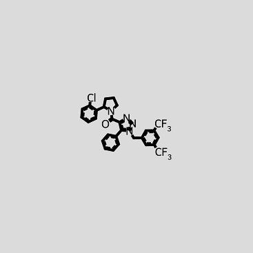 O=C(c1nnn(Cc2cc(C(F)(F)F)cc(C(F)(F)F)c2)c1-c1ccccc1)N1CCCC1c1ccccc1Cl